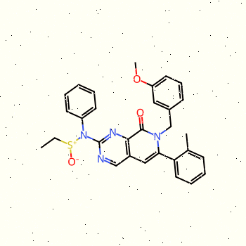 CC[S+]([O-])N(c1ccccc1)c1ncc2cc(-c3ccccc3C)n(Cc3cccc(OC)c3)c(=O)c2n1